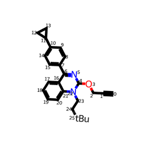 C#CCOC1N=C(c2ccc(C3CC3)cc2)c2ccccc2N1CCC(C)(C)C